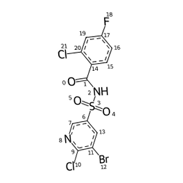 O=C(NS(=O)(=O)c1cnc(Cl)c(Br)c1)c1ccc(F)cc1Cl